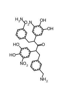 NCc1cccc(CC(C(=O)C(Cc2cccc(CN)c2)c2cc(O)c(O)c([N+](=O)[O-])c2)c2cc(O)c(O)c([N+](=O)[O-])c2)c1